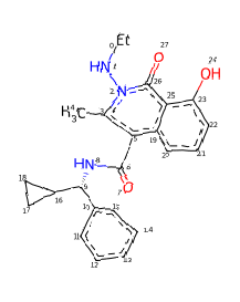 CCNn1c(C)c(C(=O)N[C@H](c2ccccc2)C2CC2)c2cccc(O)c2c1=O